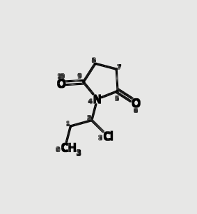 CCC(Cl)N1C(=O)CCC1=O